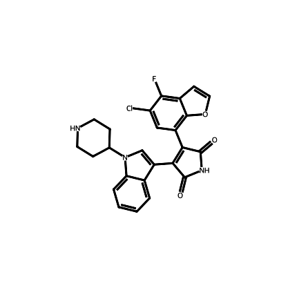 O=C1NC(=O)C(c2cc(Cl)c(F)c3ccoc23)=C1c1cn(C2CCNCC2)c2ccccc12